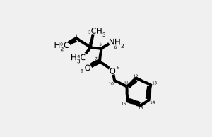 C=CC(C)(C)C(N)C(=O)OCc1ccccc1